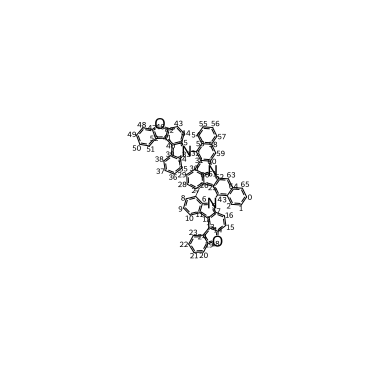 c1ccc2c(-n3c4ccccc4c4c5c(ccc43)oc3ccccc35)c3c4cccc5c6c(-n7c8ccccc8c8c9c(ccc87)oc7ccccc79)c7ccccc7cc6n(c3cc2c1)c45